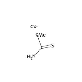 CSC(N)=S.[Co]